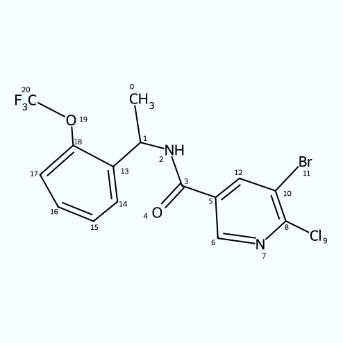 CC(NC(=O)c1cnc(Cl)c(Br)c1)c1ccccc1OC(F)(F)F